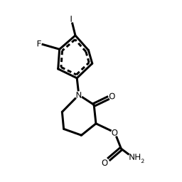 NC(=O)OC1CCCN(c2ccc(I)c(F)c2)C1=O